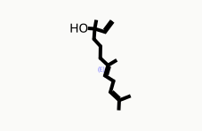 C=CC(C)(O)CCC/C(C)=C/CC=C(C)C